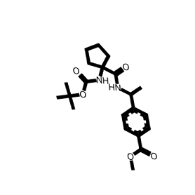 COC(=O)c1ccc(C(C)NC(=O)C2(NC(=O)OC(C)(C)C)CCCC2)cc1